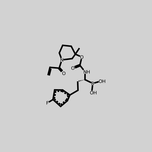 C=CC(=O)N1CCCC(C)(OC(=O)N[C@@H](CCc2ccc(F)cc2)B(O)O)C1